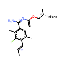 C=C(/N=C(/N)c1cc(C)c(/C=C/C)c(F)c1C)OC[C@H](C)CCCCC